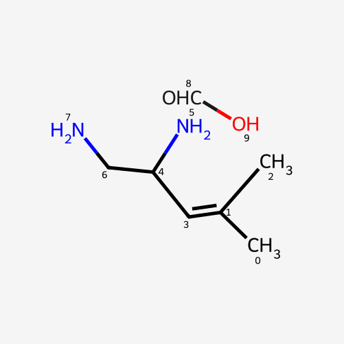 CC(C)=CC(N)CN.O=CO